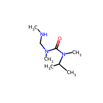 CNCN(C)C(=O)N(C)C(C)C